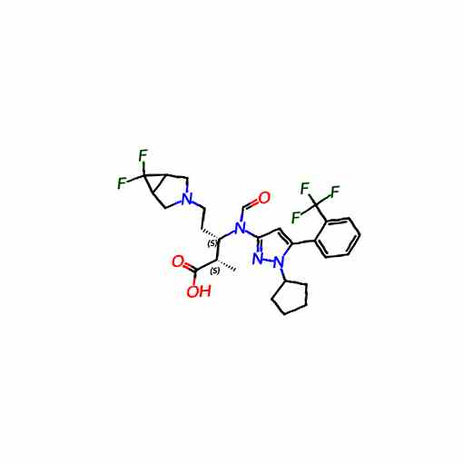 C[C@H](C(=O)O)[C@H](CCN1CC2C(C1)C2(F)F)N(C=O)c1cc(-c2ccccc2C(F)(F)F)n(C2CCCC2)n1